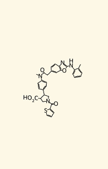 Cc1ccccc1Nc1nc2ccc(CC(=O)N(C)c3ccc(C4CN(C(=O)c5cccs5)CC4C(=O)O)cc3)cc2o1